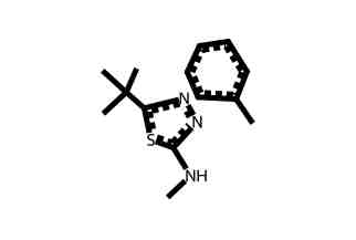 CNc1nnc(C(C)(C)C)s1.Cc1ccccc1